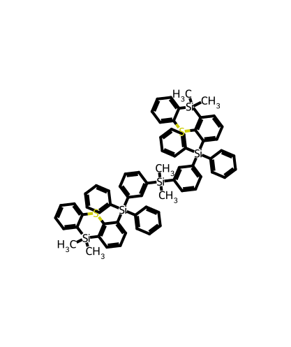 C[Si](C)(c1cccc([Si](c2ccccc2)(c2ccccc2)c2cccc3c2Sc2ccccc2[Si]3(C)C)c1)c1cccc([Si](c2ccccc2)(c2ccccc2)c2cccc3c2Sc2ccccc2[Si]3(C)C)c1